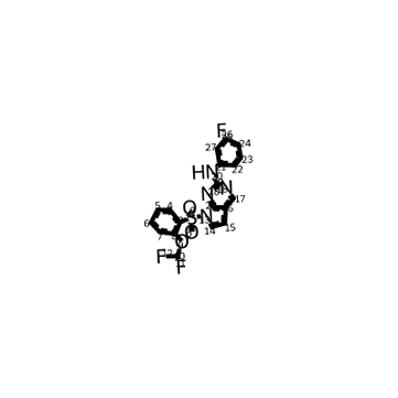 O=S(=O)(c1ccccc1OC(F)F)n1ccc2cnc(Nc3cccc(F)c3)nc21